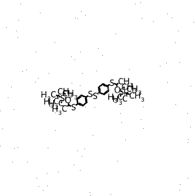 CC(O[Si](C)(C)C(C)(C)C)Sc1ccc(SSc2ccc(SC(C)O[Si](C)(C)C(C)(C)C)cc2)cc1